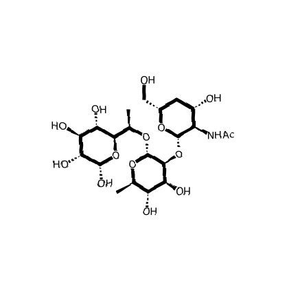 CC(=O)N[C@H]1[C@H](O[C@@H]2[C@@H](O[C@H](C)[C@H]3O[C@H](O)[C@H](O)[C@@H](O)[C@@H]3O)O[C@H](C)[C@@H](O)[C@@H]2O)O[C@H](CO)C[C@@H]1O